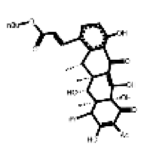 CCCCOC(=O)/C=C/c1ccc(O)c2c1[C@@H](C)[C@@]1(C)C(=C(O)[C@@]3(O)C(=O)C(C(C)=O)=C(O)C(C(C)C)[C@@]3(C)[C@@H]1O)C2=O